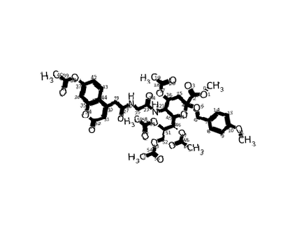 COC(=O)C1(OCc2ccc(OC)cc2)CC(OC(C)=O)C(NC(=O)CNC(=O)Cc2cc(=O)oc3cc(OC(C)=O)ccc23)C([C@H](OC(C)=O)[C@@H](COC(C)=O)OC(C)=O)O1